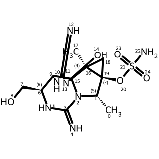 C[C@@H]1N2C(=N)N[C@@H](CO)C3NC(=N)N(O)C32[C@@]2(C)C[C@]12OS(N)(=O)=O